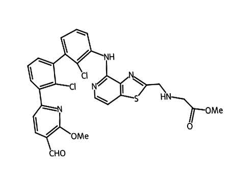 COC(=O)CNCc1nc2c(Nc3cccc(-c4cccc(-c5ccc(C=O)c(OC)n5)c4Cl)c3Cl)nccc2s1